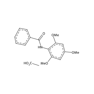 CC(=O)O.COc1cc(OC)c(NC(=O)c2ccccc2)c(OC)c1